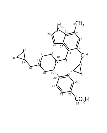 Cc1cc(OC2CC2)c(CN2CCN(CC3CC3)C[C@H]2c2ccc(C(=O)O)cc2)c2cc[nH]c12